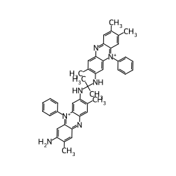 Cc1cc2nc3cc(C)c(NC(C)(C)Nc4cc5c(cc4C)nc4cc(C)c(N)cc4[n+]5-c4ccccc4)cc3[n+](-c3ccccc3)c2cc1C